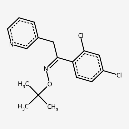 CC(C)(C)ON=C(Cc1cccnc1)c1ccc(Cl)cc1Cl